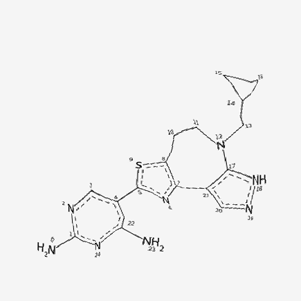 Nc1ncc(-c2nc3c(s2)CCN(CC2CC2)c2[nH]ncc2-3)c(N)n1